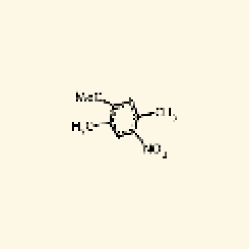 COc1nc(C)c([N+](=O)[O-])cc1C